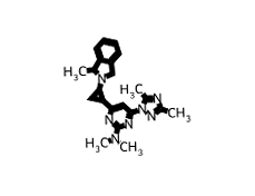 Cc1nc(C)n(-c2cc(C3CC3N3Cc4ccccc4C3C)nc(N(C)C)n2)n1